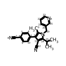 Cc1c(-c2ccc(C#N)cc2)c(C#N)c(C(C)C)n1Cc1cccnc1